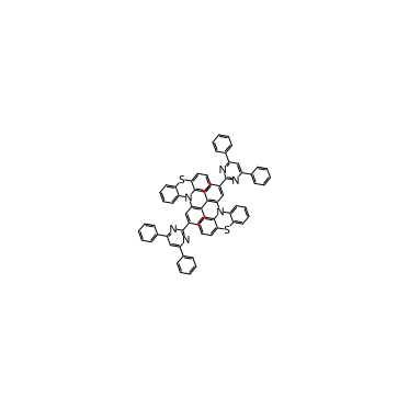 c1ccc(-c2cc(-c3ccccc3)nc(-c3ccc(-c4ccc(-c5nc(-c6ccccc6)cc(-c6ccccc6)n5)cc4N4c5ccccc5Sc5ccccc54)c(N4c5ccccc5Sc5ccccc54)c3)n2)cc1